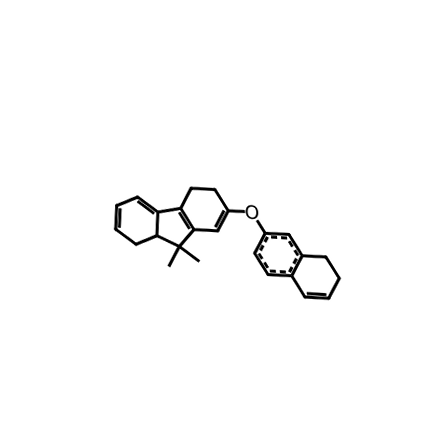 CC1(C)C2=C(CCC(Oc3ccc4c(c3)CCC=C4)=C2)C2=CC=CCC21